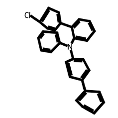 Clc1ccc(-c2ccccc2N(c2ccccc2)c2ccc(-c3ccccc3)cc2)cc1